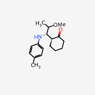 COC(C)[C@@H](Nc1ccc(C)cc1)[C@@H]1CCCCC1=O